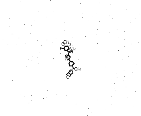 COc1cc2[nH]nc(-c3cc(-c4ccc(C(O)N5CC6COCC6C5)cc4)no3)c2cc1F